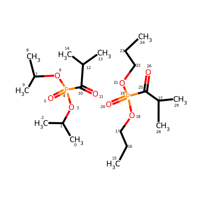 CC(C)OP(=O)(OC(C)C)C(=O)C(C)C.CCCOP(=O)(OCCC)C(=O)C(C)C